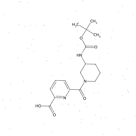 CC(C)(C)OC(=O)NC1CCCN(C(=O)c2cccc(C(=O)O)n2)C1